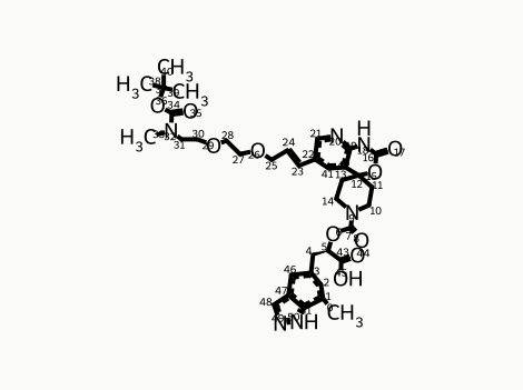 Cc1cc(C[C@@H](OC(=O)N2CCC3(CC2)OC(=O)Nc2ncc(/C=C/COCCOCCN(C)C(=O)OC(C)(C)C)cc23)C(=O)O)cc2cn[nH]c12